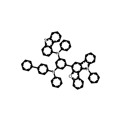 c1ccc(-c2ccc(N(c3ccccc3)c3cc(-c4cc5c6ccccc6n(-c6ccccc6)c5c5c4oc4ccccc45)cc(N(c4ccccc4)c4cccc5sc6ccccc6c45)c3)cc2)cc1